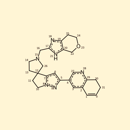 C1=Cc2cc(-c3cc4n(n3)CCC43CCN(Cc4nc5c([nH]4)COCC5)C3)cnc2CC1